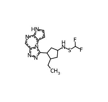 CCC1CC(NSC(F)F)CC1c1nnc2cnc3[nH]ccc3n12